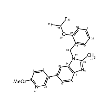 COc1ccc(-c2ccc3nc(C)n(Cc4ccccc4OC(F)F)c3c2)cn1